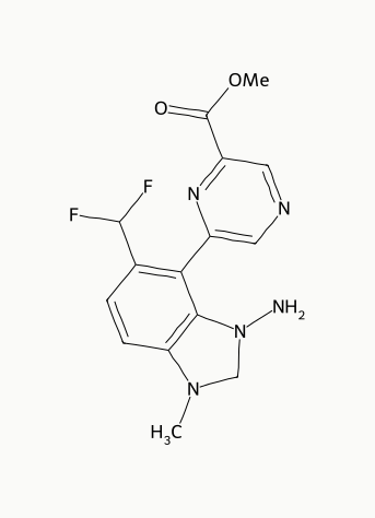 COC(=O)c1cncc(-c2c(C(F)F)ccc3c2N(N)CN3C)n1